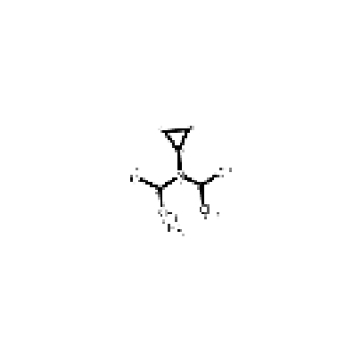 CC(Cl)N(C(C)Cl)C1CC1.Cl